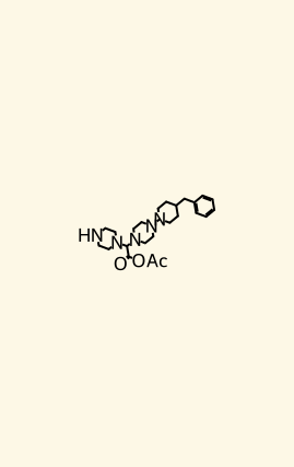 CC(=O)OC(=O)C(N1CCNCC1)N1CCN(N2CCC(Cc3ccccc3)CC2)CC1